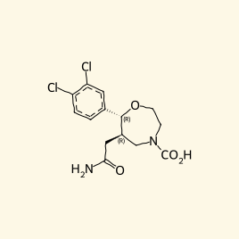 NC(=O)C[C@@H]1CN(C(=O)O)CCO[C@H]1c1ccc(Cl)c(Cl)c1